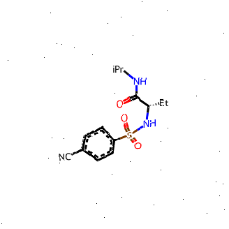 CC[C@H](NS(=O)(=O)c1ccc(C#N)cc1)C(=O)NC(C)C